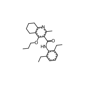 CCCOc1c2c(nc(C)c1C(=O)Nc1c(CC)cccc1CC)CCCC2